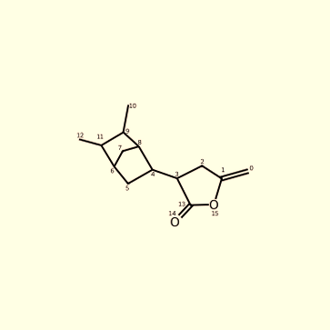 C=C1CC(C2CC3CC2C(C)C3C)C(=O)O1